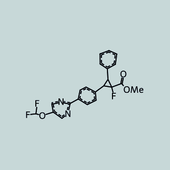 COC(=O)C1(F)C(c2ccccc2)C1c1ccc(-c2ncc(OC(F)F)cn2)cc1